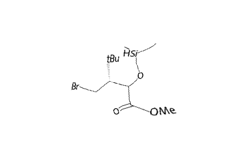 COC(=O)C(O[SiH](C)C)[C@H](CBr)C(C)(C)C